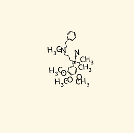 COc1cc([C@](C#N)(CCCN(C)CCc2ccccc2)C(C)C)cc(OC)c1OC